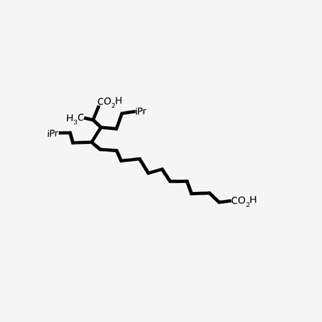 CC(C)CCC(CCCCCCCCCCCC(=O)O)C(CCC(C)C)C(C)C(=O)O